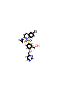 CCc1ccc2c(c1)CC[C@@H](C1CC1)N2S(=O)(=O)c1ccc(OCc2ccncn2)c(CO)c1